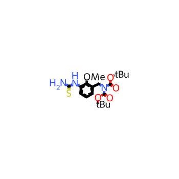 COc1c(CN(C(=O)OC(C)(C)C)C(=O)OC(C)(C)C)cccc1NC(N)=S